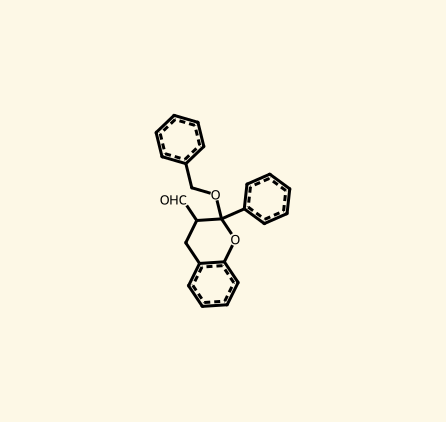 O=CC1Cc2ccccc2OC1(OCc1ccccc1)c1ccccc1